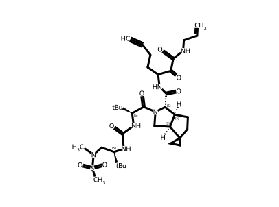 C#CCCC(NC(=O)[C@@H]1[C@H]2CCC3(CC3)[C@H]2CN1C(=O)[C@@H](NC(=O)N[C@H](CN(C)S(C)(=O)=O)C(C)(C)C)C(C)(C)C)C(=O)C(=O)NCC=C